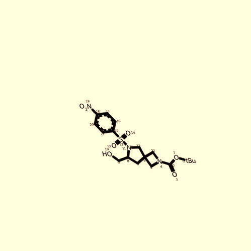 CC(C)(C)OC(=O)N1CC2(CC(CO)N(S(=O)(=O)c3ccc([N+](=O)[O-])cc3)C2)C1